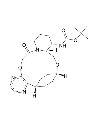 CC(C)(C)OC(=O)N[C@H]1CCCN2C(=O)COc3nccnc3[C@H]3CC[C@H](CC3)OC[C@@H]12